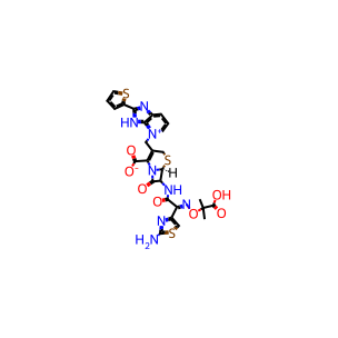 CC(C)(ON=C(C(=O)NC1C(=O)N2C(C(=O)[O-])=C(C[n+]3cccc4nc(-c5cccs5)[nH]c43)CS[C@@H]12)c1csc(N)n1)C(=O)O